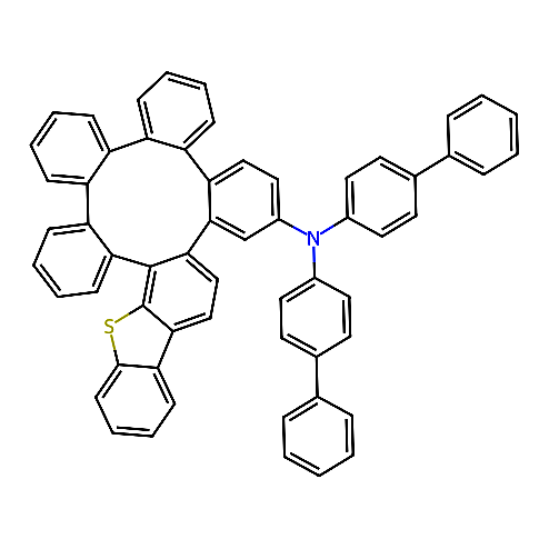 c1ccc(-c2ccc(N(c3ccc(-c4ccccc4)cc3)c3ccc4c5ccccc5c5ccccc5c5ccccc5c5c(ccc6c7ccccc7sc65)c4c3)cc2)cc1